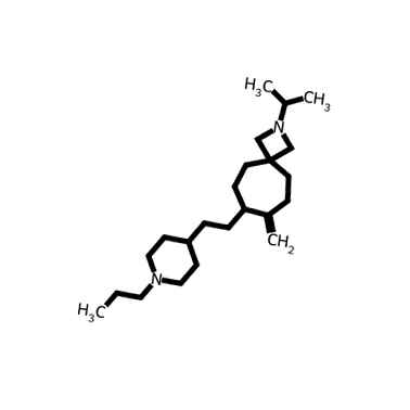 C=C1CCC2(CCC1CCC1CCN(CCC)CC1)CN(C(C)C)C2